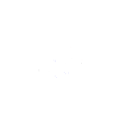 CBc1n[nH]c(C(=O)OC)n1